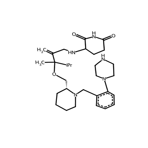 C=C(CNC1CCC(=O)NC1=O)C(C)(OC[C@H]1CCCCN1Cc1ccccc1N1CCNCC1)C(C)C